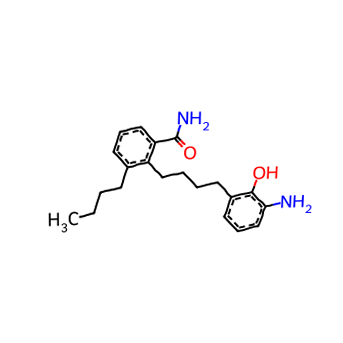 CCCCc1cccc(C(N)=O)c1CCCCc1cccc(N)c1O